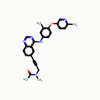 CC(=O)N(C)CC#Cc1ccc2ncnc(Nc3ccc(Oc4ccc(C)nc4)c(C)c3)c2c1